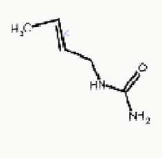 C/C=C/CNC(N)=O